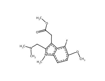 COC(=O)Cc1c(CN(C)C)n(C)c2ccc(OC)c(F)c12